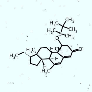 CC[C@H]1CC[C@H]2[C@@H]3C(C)=CC4=CC(=O)CC(O[Si](C)(C)C(C)(C)C)[C@]4(C)[C@H]3CC[C@]12C